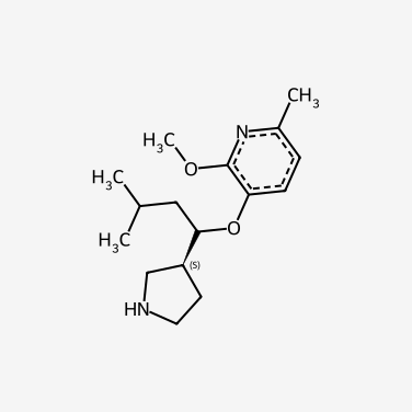 COc1nc(C)ccc1OC(CC(C)C)[C@H]1CCNC1